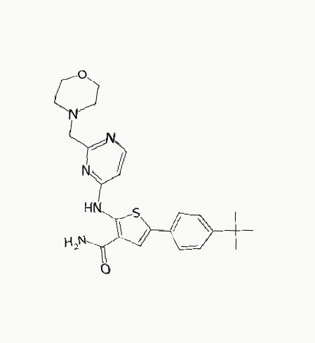 CC(C)(C)c1ccc(-c2cc(C(N)=O)c(Nc3ccnc(CN4CCOCC4)n3)s2)cc1